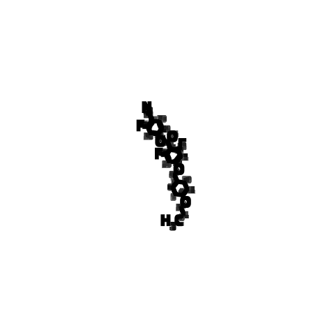 CCCOC1CCC(COc2cc(F)c(C(=O)Oc3ccc(C#N)c(F)c3)c(F)c2)CC1